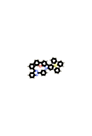 c1ccc(-c2nc(-c3cccc(-n4c5ccc(S(c6ccccc6)(c6ccccc6)c6ccccc6)cc5c5ccc6c7ccccc7oc6c54)c3)nc3ccccc23)cc1